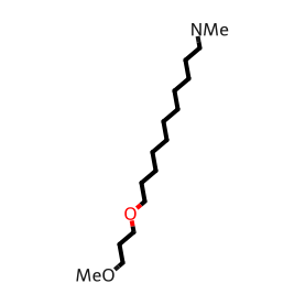 CNCCCCCCCCCCCOCCCOC